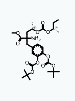 CC[C@H](C)OC(=O)O[C@@H](C)CC(N)(Cc1ccc(OC(=O)OC(C)(C)C)c(OC(=O)OC(C)(C)C)c1)C(=O)OC